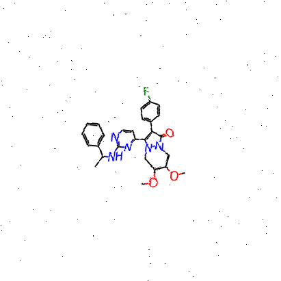 COC1Cn2c(-c3ccnc(NC(C)c4ccccc4)n3)c(-c3ccc(F)cc3)c(=O)n2CC1OC